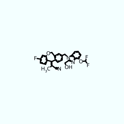 CC(C#N)=C1c2ccc(Cn3c(CO)nc4c(OC(F)F)cccc43)cc2COc2cc(F)ccc21